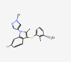 CCOC(=O)c1cccc(Sc2c(C)n(-c3cnn(CC)c3)c3cc(Cl)ccc23)c1C